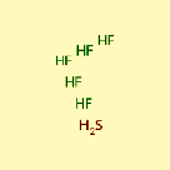 F.F.F.F.F.S